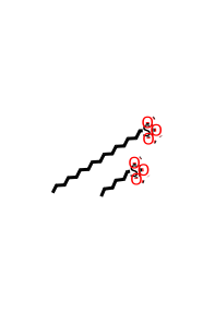 CCCCCCCCCCCCCCCC[Si](OC)(OC)OC.CCCCCC[Si](OC)(OC)OC